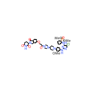 COc1cc(N2CCC(N3CCN(C(=O)CCOc4ccc5c(c4)CN(C4CCC(=O)NC4=O)C5=O)CC3)CC2)ccc1Nc1ncc(Cl)c(Nc2ccccc2P(=O)(OC)OC)n1